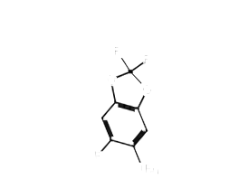 CC(C)(C)c1cc2c(cc1F)OC(F)(F)O2